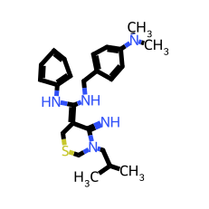 CC(C)CN1CSC/C(=C(/NCc2ccc(N(C)C)cc2)Nc2ccccc2)C1=N